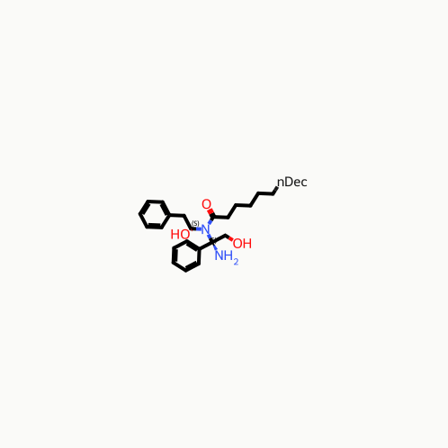 CCCCCCCCCCCCCCCC(=O)N([C@@H](O)Cc1ccccc1)[C@](N)(CO)c1ccccc1